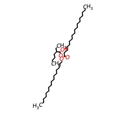 CCCCC(CC)C(=O)O.CCCCCCCCCCCCCCCCCC(=O)OCCCCCCCCCCCCCCCC